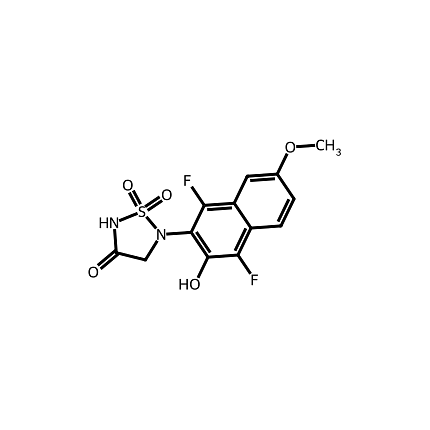 COc1ccc2c(F)c(O)c(N3CC(=O)NS3(=O)=O)c(F)c2c1